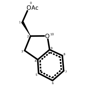 CC(=O)OC[C@@H]1Cc2ccccc2O1